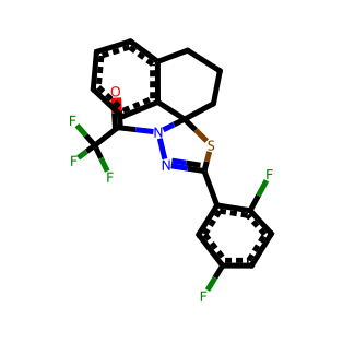 O=C(N1N=C(c2cc(F)ccc2F)SC12CCCc1ccccc12)C(F)(F)F